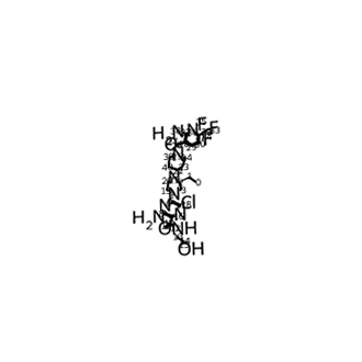 CC[C@H]1CN(c2nc(N)c(C(=O)NCCO)nc2Cl)CCN1C1CCN(C(=O)c2ccc(C(F)(F)F)nc2N)CC1